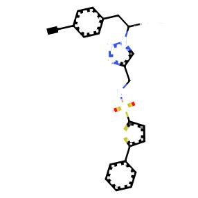 C#Cc1ccc(CC(C(=O)O)n2cc(CNS(=O)(=O)c3ccc(-c4ccccc4)s3)nn2)cc1